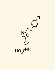 O=C(O)NC12CC(c3nnc(COc4ccc(Cl)cc4)o3)(C1)C2